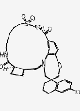 O=C1NS(=O)(=O)CCCCNC(=O)[C@@H]2CCC2CN2CC3(CCCc4cc(Cl)ccc43)COc3ccc1cc32